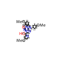 CCCCOc1nc(N(Cc2ccc(OC)cc2)Cc2ccc(OC)cc2)c2ncc(C(O)c3cc(OC)ccn3)n2n1